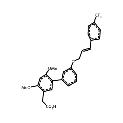 COc1cc(OC)c(-c2cccc(OCC=Cc3ccc(C(F)(F)F)cc3)c2)cc1CC(=O)O